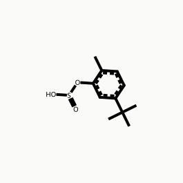 Cc1ccc(C(C)(C)C)cc1OS(=O)O